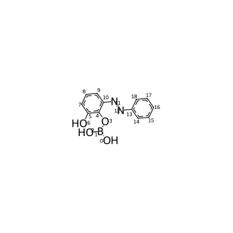 OB(O)Oc1c(O)cccc1/N=N/c1ccccc1